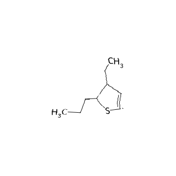 CCCC1S[C]=CC1CC